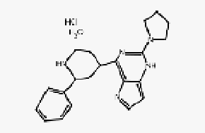 Cl.O.c1ccc(C2CC(c3nc(N4CCCC4)[nH]c4ccnc3-4)CCN2)cc1